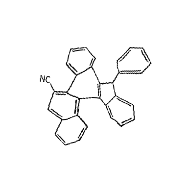 N#Cc1cc2ccccc2c2c3c(c4ccccc4c12)C(c1ccccc1)c1ccccc1-3